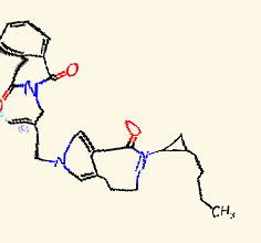 CCCC1CC1N1CCc2cn(C/C(=C/F)CN3C(=O)c4ccccc4C3=O)cc2C1=O